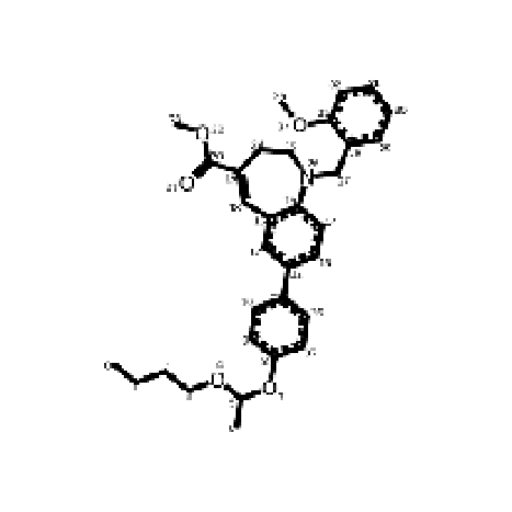 CCCCOC(C)Oc1ccc(-c2ccc3c(c2)C=C(C(=O)OC)CCN3Cc2ccccc2OC)cc1